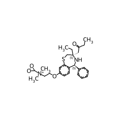 CCC(=O)C[C@@]1(CC)CSc2cc(OCC[N+](C)(C)C3OO3)ccc2[C@H](c2ccccc2)N1